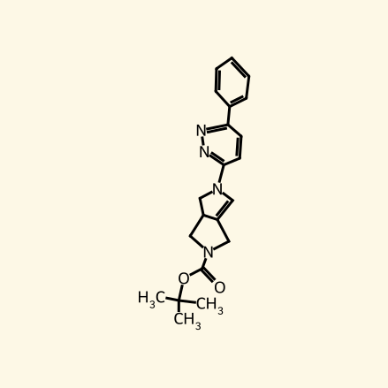 CC(C)(C)OC(=O)N1CC2=CN(c3ccc(-c4ccccc4)nn3)CC2C1